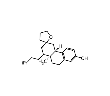 CC(C)CC[C@H]1C[C@]2(CCCO2)C[C@@H]2c3ccc(O)cc3CC[C@@]12C